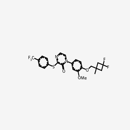 COc1cc(-n2ccnc(Sc3ccc(C(F)(F)F)cc3)c2=O)ccc1OCC1(C)CC(F)(F)C1